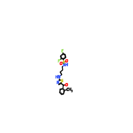 Cc1ccccc1C(=O)c1cnc(NCCCCNS(=O)(=O)c2ccc(F)cc2F)s1